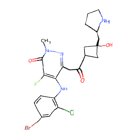 Cn1nc(C(=O)C2CC(O)([C@H]3CCCN3)C2)c(Nc2ccc(Br)cc2Cl)c(F)c1=O